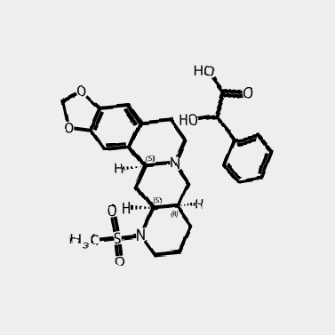 CS(=O)(=O)N1CCC[C@@H]2CN3CCc4cc5c(cc4[C@@H]3C[C@@H]21)OCO5.O=C(O)C(O)c1ccccc1